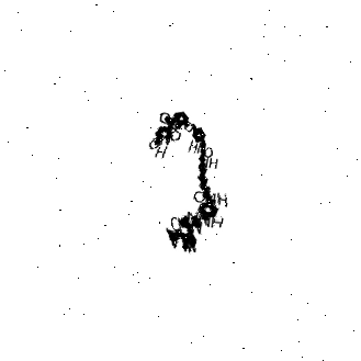 Cn1ncc(-c2nc(NC3CCC(NC(=O)CCCCCCNCC(=O)NCc4ccc(COc5cccc6c5CN(C5CCC(=O)NC5=O)C6=O)cc4)CC3)ncc2Cl)c1CC1CC1